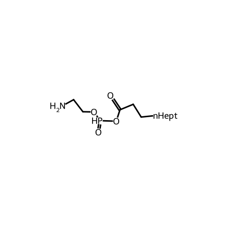 CCCCCCCCCC(=O)O[PH](=O)OCCN